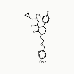 CCC(CN(C)SC1CC1)N1C(=O)C(CCOCc2ccc(OC)cc2)CCC1c1ccc(Cl)cc1